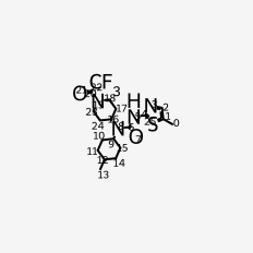 Cc1cnc(NC(=O)N(C2CCC(C)CC2)C2CCN(C(=O)C(F)(F)F)CC2)s1